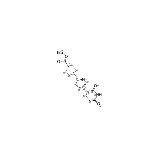 CC(C)(C)OC(=O)N1CCN(c2ccc([C@H]3CCC(=O)NC3=O)cn2)CC1